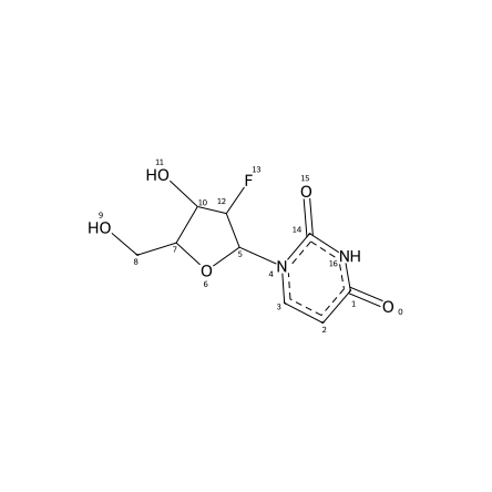 O=c1ccn(C2OC(CO)C(O)C2F)c(=O)[nH]1